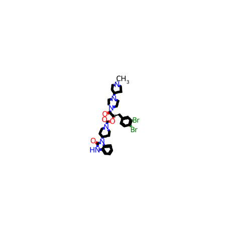 CN1CCC(N2CCN(C(=O)[C@@H](Cc3ccc(Br)c(Br)c3)OC(=O)N3CCC(n4c(=O)[nH]c5ccccc54)CC3)CC2)CC1